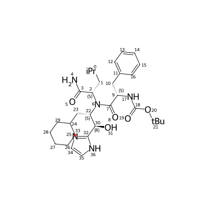 CC(C)C[C@@H](C(N)=O)N(C(=O)[C@H](Cc1ccccc1)NC(=O)OC(C)(C)C)[C@@H](CC1CCCCC1)[C@@H](O)c1ncc[nH]1